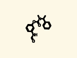 CC(c1ccccc1)N(C)C(=O)Oc1cccc(NC=O)c1